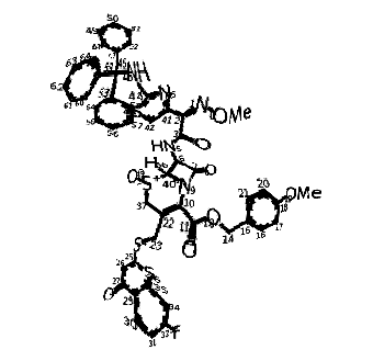 CO/N=C(\C(=O)NC1C(=O)N2C(C(=O)OCc3ccc(OC)cc3)=C(CSc3cc(=O)c4ccc(F)cc4s3)C[S+]([O-])[C@H]12)c1csc(NC(c2ccccc2)(c2ccccc2)c2ccccc2)n1